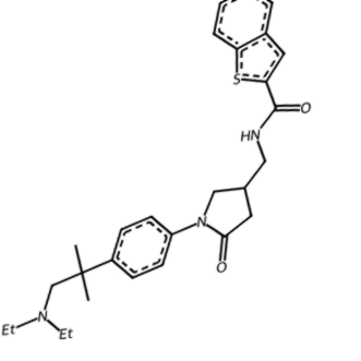 CCN(CC)CC(C)(C)c1ccc(N2CC(CNC(=O)c3cc4ccccc4s3)CC2=O)cc1